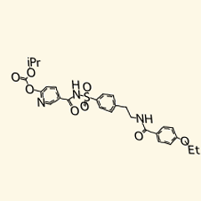 CCOc1ccc(C(=O)NCCc2ccc(S(=O)(=O)NC(=O)c3ccc(OC(=O)OC(C)C)nc3)cc2)cc1